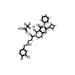 O=C(CCNCc1ccc(F)c(Cl)c1)N1CCc2nc(C3CCC3)n(-c3ccccc3)c(=O)c2C1S.O=C(O)C(F)(F)F